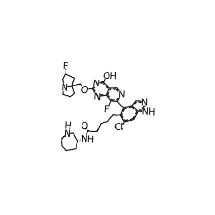 O=C(CCCCc1c(Cl)cc2[nH]ncc2c1-c1ncc2c(O)nc(OC[C@@]34CCCN3C[C@H](F)C4)nc2c1F)N[C@@H]1CCCCNC1